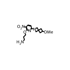 COC1CC2(C1)CN(c1ccc([N+](=O)[O-])c(OCCCN)n1)C2